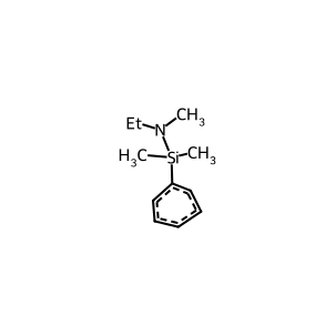 CCN(C)[Si](C)(C)c1ccccc1